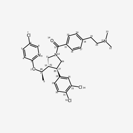 C[C@@H](Oc1ccc(Cl)cn1)[C@@H]1CN(C(=O)c2ccc(CCN(C)C)cc2)C[C@H]1c1ccc(Cl)c(Cl)c1